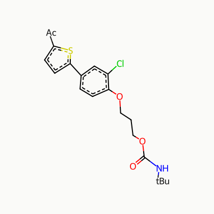 CC(=O)c1ccc(-c2ccc(OCCCOC(=O)NC(C)(C)C)c(Cl)c2)s1